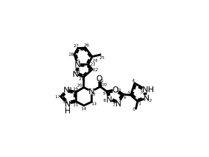 Cc1n[nH]cc1-c1nnc(C(=O)N2CCc3[nH]cnc3C2c2cc3c(C)cccn3n2)o1